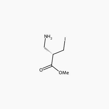 COC(=O)[C@H](CN)CI